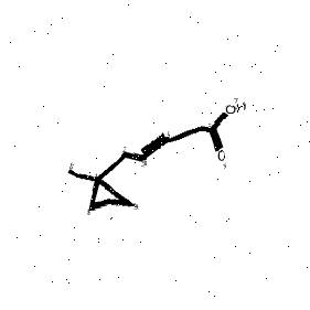 CC1(CC=CC(=O)O)CC1